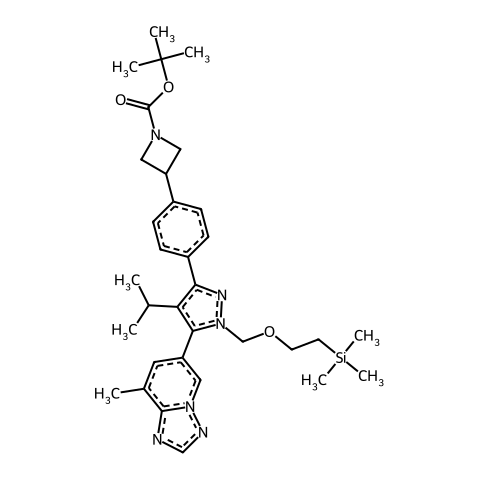 Cc1cc(-c2c(C(C)C)c(-c3ccc(C4CN(C(=O)OC(C)(C)C)C4)cc3)nn2COCC[Si](C)(C)C)cn2ncnc12